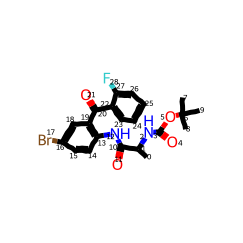 CC(NC(=O)OC(C)(C)C)C(=O)Nc1ccc(Br)cc1C(=O)c1ccccc1F